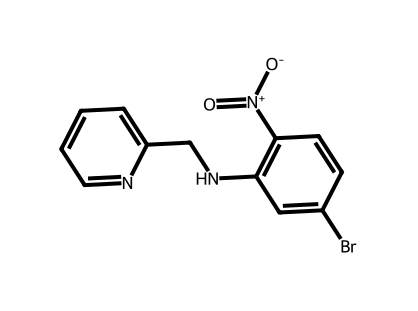 O=[N+]([O-])c1ccc(Br)cc1NCc1ccccn1